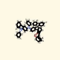 c1ccc(N(c2ccc3c(c2)[Si](c2ccccc2)(c2ccccc2)c2ccc4c(oc5ccccc54)c2-3)c2ccc3c(c2)c2ccccc2n3-c2ccccc2)cc1